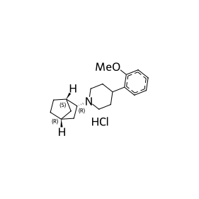 COc1ccccc1C1CCN([C@@H]2C[C@@H]3CC[C@H]2C3)CC1.Cl